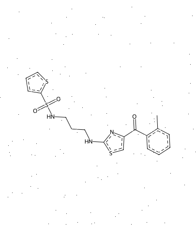 Cc1ccccc1C(=O)c1csc(NCCCNS(=O)(=O)c2cccs2)n1